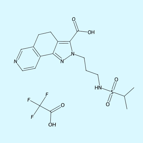 CC(C)S(=O)(=O)NCCCn1nc2c(c1C(=O)O)CCc1cnccc1-2.O=C(O)C(F)(F)F